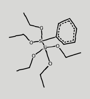 CCO[Si](OCC)(OCC)[Si](OCC)(OCC)c1ccccc1